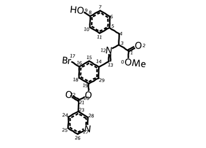 COC(=O)C(Cc1ccc(O)cc1)N=Cc1cc(Br)cc(OC(=O)c2cccnc2)c1